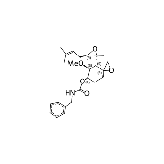 CO[C@H]1[C@H](C2(C)O[C@@H]2CC=C(C)C)[C@]2(CC[C@H]1OC(=O)NCc1ccccc1)CO2